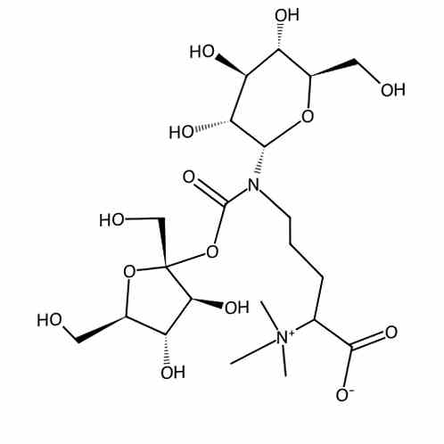 C[N+](C)(C)C(CCCN(C(=O)O[C@@]1(CO)O[C@H](CO)[C@@H](O)[C@@H]1O)[C@H]1O[C@H](CO)[C@@H](O)[C@H](O)[C@H]1O)C(=O)[O-]